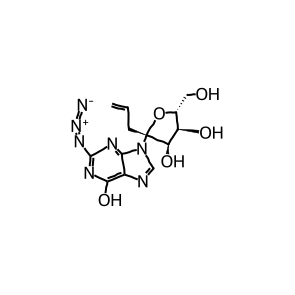 C=CC[C@@]1(n2cnc3c(O)nc(N=[N+]=[N-])nc32)O[C@H](CO)[C@@H](O)[C@H]1O